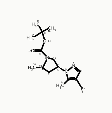 Cc1c(Br)cnn1[C@H]1C[C@@H](C)N(C(=O)OC(C)(C)C)C1